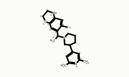 Cc1cc(C2CCCN(C(C)c3cc4c(cc3F)NCCO4)C2)cc(C)n1